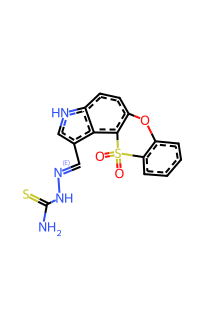 NC(=S)N/N=C/c1c[nH]c2ccc3c(c12)S(=O)(=O)c1ccccc1O3